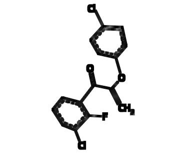 C=C(Oc1ccc(Cl)cc1)C(=O)c1cccc(Cl)c1F